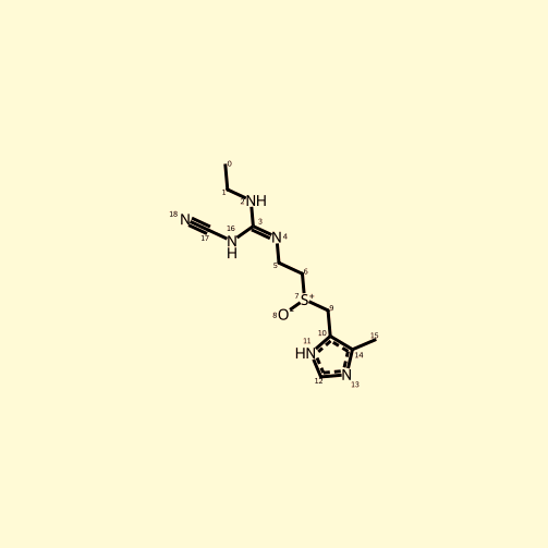 CCN/C(=N/CC[S+]([O-])Cc1[nH]cnc1C)NC#N